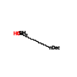 CCCCCCCCCCCCCCCCCCCCCCCCCCCCCCCCC[SiH2]O